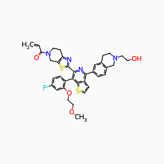 C=CC(=O)N1CCc2nc(-c3nc(-c4ccc5c(c4)CCN(CCO)C5)c4ccsc4c3-c3ccc(F)cc3OCCOC)sc2C1